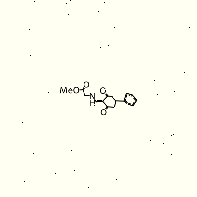 COC(=O)CNC=C1C(=O)CC(c2ccccc2)CC1=O